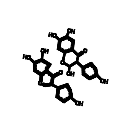 O=C1c2cc(O)c(O)cc2OC(O)C1c1ccc(O)cc1.O=c1c(-c2ccc(O)cc2)coc2cc(O)c(O)cc12